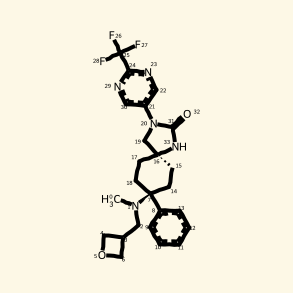 CN(CC1COC1)[C@]1(c2ccccc2)CC[C@]2(CC1)CN(c1cnc(C(F)(F)F)nc1)C(=O)N2